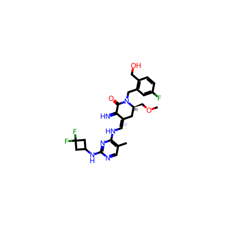 COC[C@H]1C/C(=C/Nc2nc(NC3CC(F)(F)C3)ncc2C)C(=N)C(=O)N1Cc1cc(F)ccc1CO